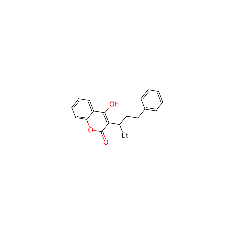 CCC(CCc1ccccc1)c1c(O)c2ccccc2oc1=O